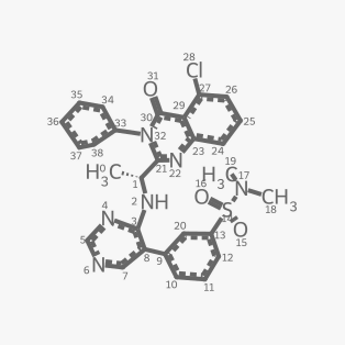 C[C@@H](Nc1ncncc1-c1cccc(S(=O)(=O)N(C)C)c1)c1nc2cccc(Cl)c2c(=O)n1-c1ccccc1